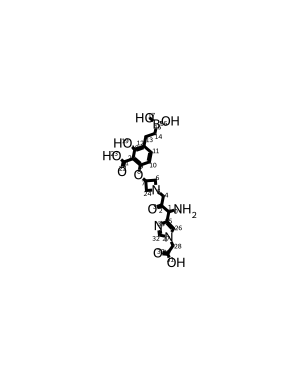 NC(C(=O)CN1CC(Oc2ccc(CCB(O)O)c(O)c2C(=O)O)C1)c1cn(CC(=O)O)cn1